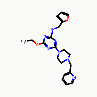 CCOc1nc(NCc2ccco2)nc(N2CCN(Cc3ccccn3)CC2)n1